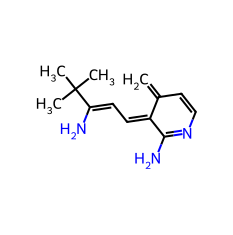 C=c1ccnc(N)/c1=C/C=C(\N)C(C)(C)C